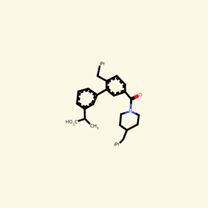 CC(C)Cc1ccc(C(=O)N2CCC(CC(C)C)CC2)cc1-c1cccc(C(C)C(=O)O)c1